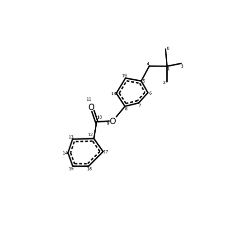 CC(C)(C)Cc1ccc(OC(=O)c2ccccc2)cc1